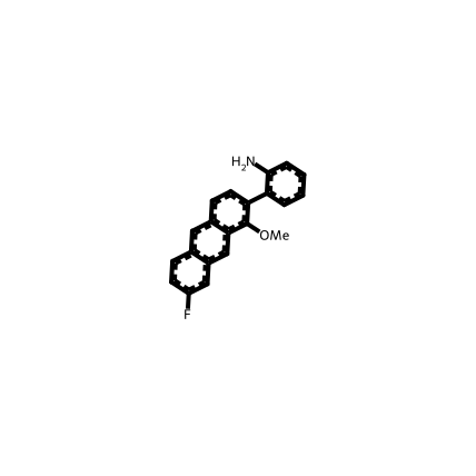 COc1c(-c2ccccc2N)ccc2cc3ccc(F)cc3cc12